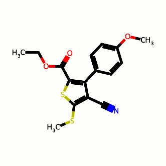 CCOC(=O)c1sc(SC)c(C#N)c1-c1ccc(OC)cc1